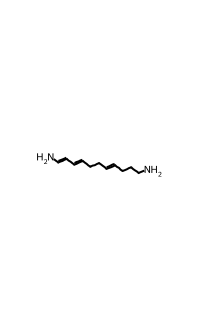 NC=CC=CCCC=CCCCN